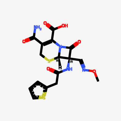 CON=C[C@@]1(NC(=O)Cc2cccs2)C(=O)N2C(C(=O)O)=C(C(N)=O)CS[C@H]21